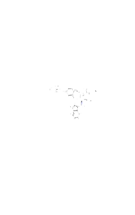 CCOC(=O)C1=C(Nc2ccc(OCC(C)(C)O)cc2C)O/C(=C\c2c[nH]c3ncccc23)C1=O